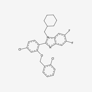 Fc1cc2nc(-c3ccc(Cl)cc3OCc3ccccc3Cl)n(CC3CCCCC3)c2cc1F